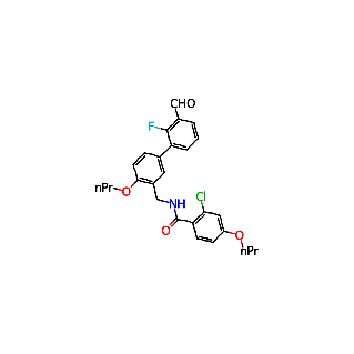 CCCOc1ccc(C(=O)NCc2cc(-c3cccc(C=O)c3F)ccc2OCCC)c(Cl)c1